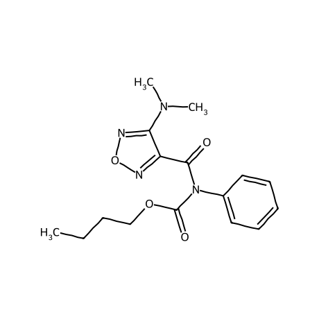 CCCCOC(=O)N(C(=O)c1nonc1N(C)C)c1ccccc1